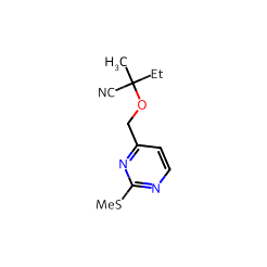 CCC(C)(C#N)OCc1ccnc(SC)n1